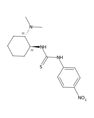 CN(C)[C@H]1CCCC[C@@H]1NC(=S)Nc1ccc([N+](=O)[O-])cc1